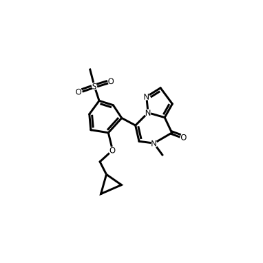 Cn1cc(-c2cc(S(C)(=O)=O)ccc2OCC2CC2)n2nccc2c1=O